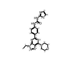 CCn1nnc2c(N3CCOCC3)nc(-c3ccc(NC(=O)Nc4nccs4)cc3)nc21